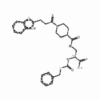 O=C(N[C@@H](CNC(=O)C1CCN(C(=O)CCc2nc3ccccc3[nH]2)CC1)C(=O)O)OCc1ccccc1